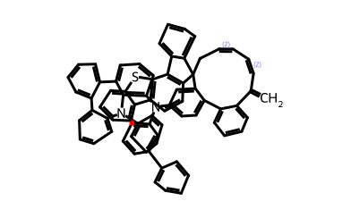 C=C1/C=C\C=C/CC2(c3cc(N(c4cccc(-c5ccccc5)c4)c4cccc5c4N(c4ccccc4)c4ccccc4-c4ccccc4-5)ccc3-c3ccccc31)c1ccccc1-c1c2ccc2c1sc1ccccc12